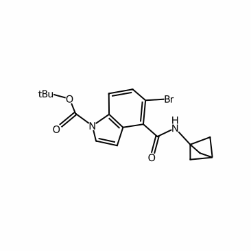 CC(C)(C)OC(=O)n1ccc2c(C(=O)NC34CC(C3)C4)c(Br)ccc21